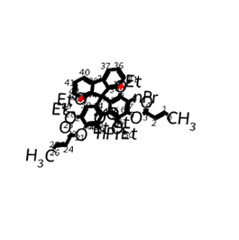 CC=CC(=O)Oc1c(CCC)c(OCC)c(C2(c3c(OCC)c(CCC)c(OC(=O)C=CC)c(OCC)c3OCC)c3ccccc3-c3ccccc32)c(OCC)c1OCC